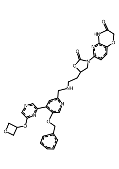 O=C1COc2ccc(N3CC(CCNCc4cc(-c5cncc(OC6COC6)n5)c(OCc5ccccc5)cn4)OC3=O)nc2N1